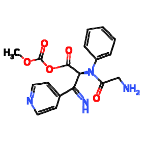 COC(=O)OC(=O)[C@H](C(=N)c1ccncc1)N(C(=O)CN)c1ccccc1